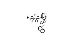 CC(F)(F)C(=O)OCC12CC3CC(C1)CC(OC(=O)Cc1cccc4ccccc14)(C3)C2